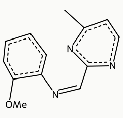 COc1ccccc1/N=C\c1nccc(C)n1